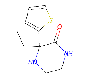 CCC1(c2cccs2)NCCNC1=O